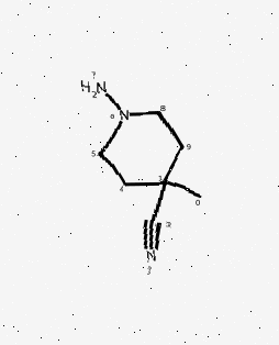 CC1(C#N)CCN(N)CC1